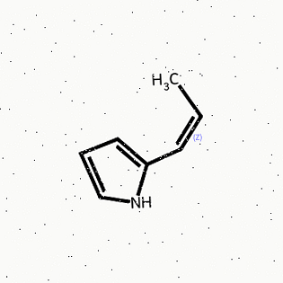 C/C=C\c1ccc[nH]1